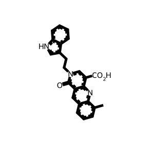 Cc1cccc2cc3c(=O)n(CCc4c[nH]c5ccccc45)cc(C(=O)O)c3nc12